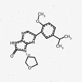 COc1ccc(C(C)C)cc1-c1cnc2[nH]c(=O)n([C@@H]3CCOC3)c2n1